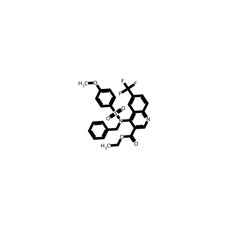 CCOC(=O)c1cnc2ccc(C(F)(F)F)cc2c1N(Cc1ccccc1)S(=O)(=O)c1ccc(OC)cc1